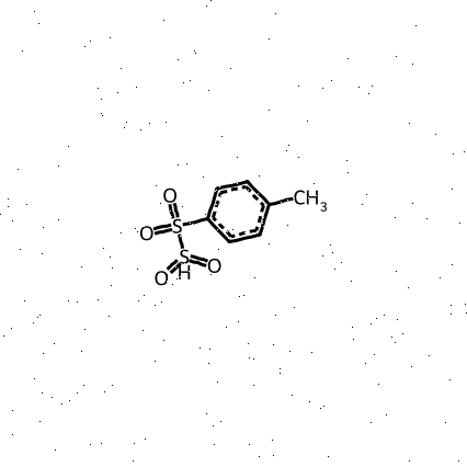 Cc1ccc(S(=O)(=O)[SH](=O)=O)cc1